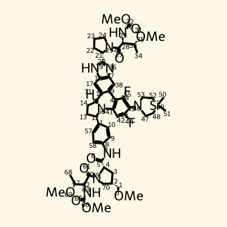 COC[C@H]1C[C@@H](C(=O)Nc2ccc([C@H]3CC[C@@H]4c5cc6[nH]c([C@@H]7CCCN7C(=O)[C@@H](NC(=O)OC)[C@@H](C)OC)nc6cc5-c5c(cc(F)c(N6CC[Si](C)(C)CC6)c5F)N34)cc2)N(C(=O)[C@@H](NC(=O)OC)[C@@H](C)OC)C1